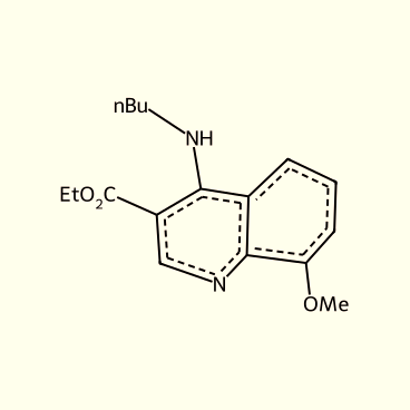 CCCCNc1c(C(=O)OCC)cnc2c(OC)cccc12